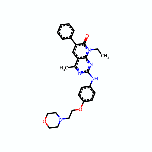 CCn1c(=O)c(-c2ccccc2)cc2c(C)nc(Nc3ccc(OCCN4CCOCC4)cc3)nc21